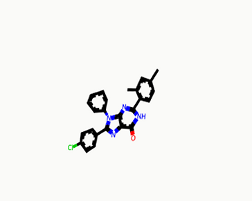 Cc1ccc(-c2nc3c(nc(-c4ccc(Cl)cc4)n3-c3ccccc3)c(=O)[nH]2)c(C)c1